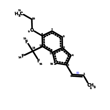 C/C=C/c1cc2ccc(OCC)c(C(F)(F)F)c2s1